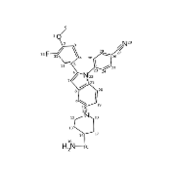 COc1ccc(-c2cc3cc(N4CCC(CN)CC4)ccc3n2-c2ccc(C#N)cc2)cc1F